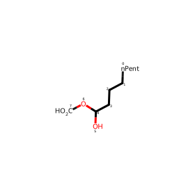 CCCCCCCCC(O)OC(=O)O